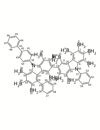 Bc1c(B)c(B)c2c(c1B)c1c(B)c(-c3c(B)c(B)c4c(c3B)c3c(-c5ccccc5)c(B)c(B)c(B)c3n4-c3ccc(-c4ccccc4)cc3)c(B)c(B)c1n2-c1ccccc1